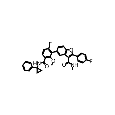 CNC(=O)c1c(-c2ccc(F)cc2)oc2ccc(-c3c(F)ccc(C(=O)NC4(c5ccccc5)CC4)c3OC)cc12